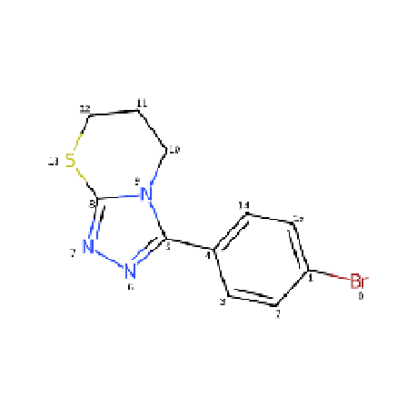 Brc1ccc(-c2nnc3n2CCCS3)cc1